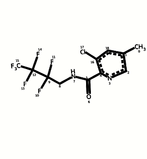 Cc1cnc(C(=O)NCC(F)(F)C(F)(F)C(F)(F)F)c(Cl)c1